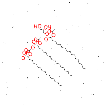 CCCCCCCCCCCCCCCCC(OC(C)=O)C(=O)O.CCCCCCCCCCCCCCCCC(OC(C)=O)C(=O)O.CCCCCCCCCCCCCCCCC(OC(C)=O)C(=O)OCC(O)CO